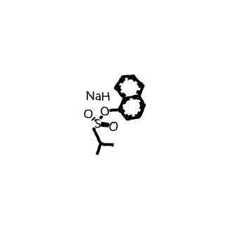 CC(C)CS(=O)(=O)Oc1cccc2ccccc12.[NaH]